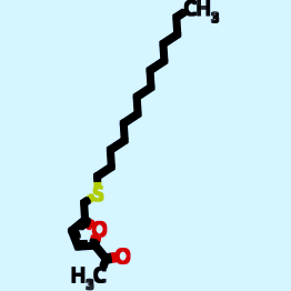 CCCCCCCCCCCCCCSCc1ccc(C(C)=O)o1